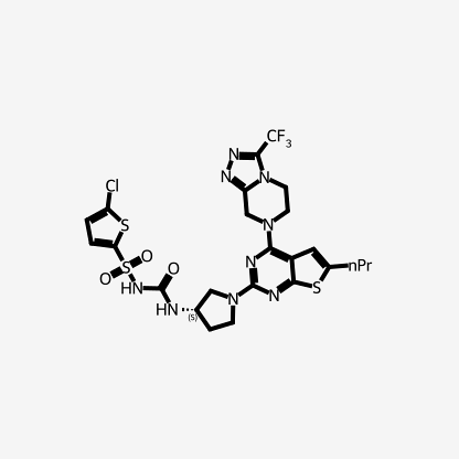 CCCc1cc2c(N3CCn4c(nnc4C(F)(F)F)C3)nc(N3CC[C@H](NC(=O)NS(=O)(=O)c4ccc(Cl)s4)C3)nc2s1